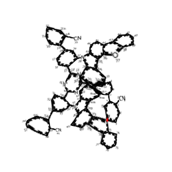 N#Cc1ccccc1-c1cccc(-c2nc(-c3ccc(-c4ccccc4C#N)cc3-n3c4ccccc4c4c5oc6ccccc6c5ccc43)nc(-c3ccc(-c4ccccc4C#N)cc3-n3c4ccccc4c4c5oc6ccccc6c5ccc43)n2)c1